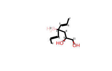 BC(C=CC)(C=CC)CC(O)CO